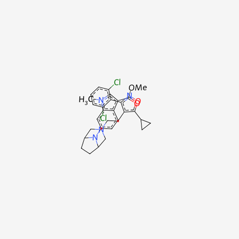 COC(=O)c1cn(C)c2cc(N3C4CCC3CN(CCc3c(-c5c(Cl)cccc5Cl)noc3C3CC3)C4)ccc12